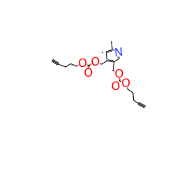 C#CCCCOC(=O)OCc1[c]c(C)ncc1COC(=O)OCCCC#C